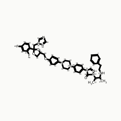 CC(NCCc1ccccc1)C(C)n1ncn(-c2ccc(N3CCN(c4ccc(OCC5COC(Cn6cncn6)(c6ccc(F)cc6F)O5)cc4)CC3)cc2)c1=O